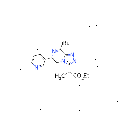 CCOC(=O)C(C)c1nnc2c(C(C)CC)nc(-c3cccnc3)cn12